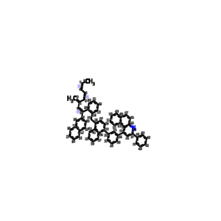 C=C(/C=C\C=C/C)/C=C(/c1ccc2ccccc2c1)c1ccccc1Cc1ccc(-c2cccc(-c3cc(-c4ccccc4)nc4ccc5ccccc5c34)c2)c2ccccc12